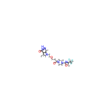 Cc1cn(CCOCCC(=O)N2CCN(c3nc(C(F)(F)F)co3)CC2)c2cn[nH]c(=O)c12